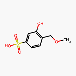 COCc1ccc(S(=O)(=O)O)cc1O